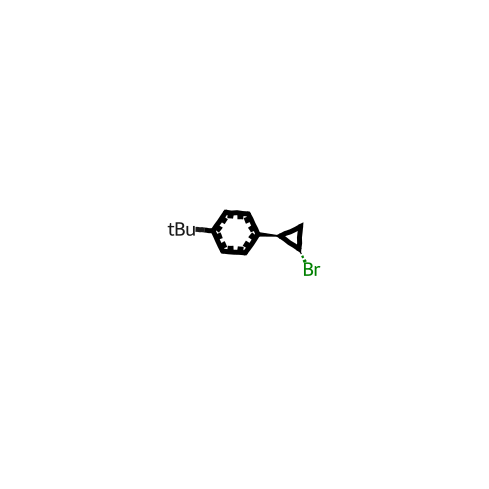 CC(C)(C)c1ccc([C@H]2C[C@@H]2Br)cc1